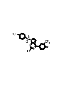 Cc1ccc(S(=O)(=O)n2ccc3c(-c4ccc(F)c(C(F)(F)F)c4)nc(Cl)nc32)cc1